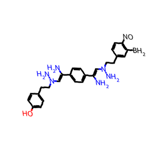 Bc1cc(CCN(N)/C=C(\N)c2ccc(/C(N)=C/N(N)CCc3ccc(O)cc3)cc2)ccc1N=O